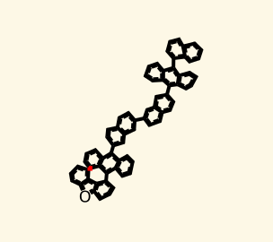 c1ccc2c(-c3c4ccccc4c(-c4ccc5ccc(-c6ccc7ccc(-c8c9ccccc9c(-c9cccc%10oc%11ccccc%11c9%10)c9ccccc89)cc7c6)cc5c4)c4ccccc34)cccc2c1